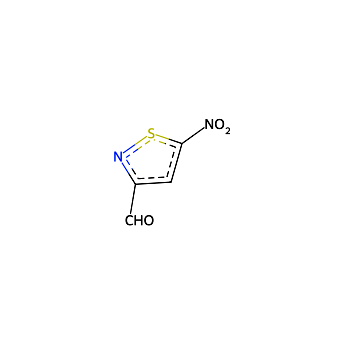 O=Cc1cc([N+](=O)[O-])sn1